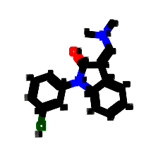 CN(C)C=C1C(=O)N(c2cccc(Cl)c2)c2ccccc21